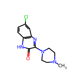 CN1CCN(c2nc3cc(Cl)ccc3[nH]c2=O)CC1